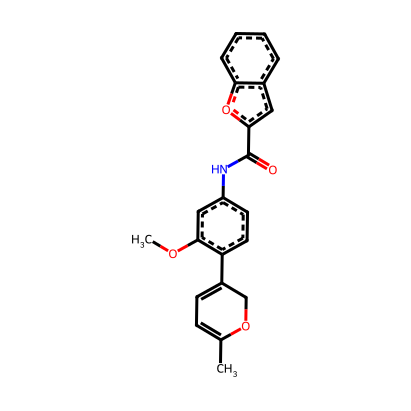 COc1cc(NC(=O)c2cc3ccccc3o2)ccc1C1=CC=C(C)OC1